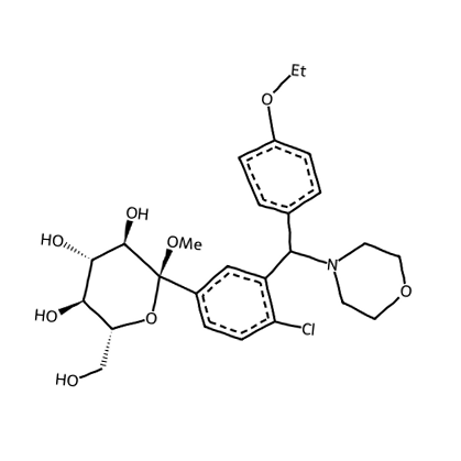 CCOc1ccc(C(c2cc([C@]3(OC)O[C@H](CO)[C@@H](O)[C@H](O)[C@H]3O)ccc2Cl)N2CCOCC2)cc1